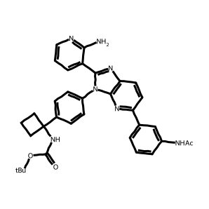 CC(=O)Nc1cccc(-c2ccc3nc(-c4cccnc4N)n(-c4ccc(C5(NC(=O)OC(C)(C)C)CCC5)cc4)c3n2)c1